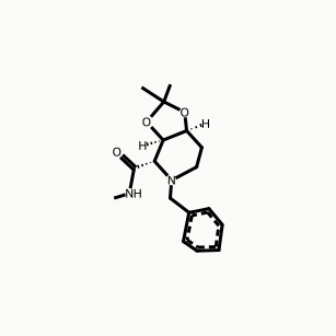 CNC(=O)[C@@H]1[C@H]2OC(C)(C)O[C@H]2CCN1Cc1ccccc1